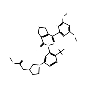 CNC(=O)C[C@@H]1CCN(c2ccc(C(F)(F)F)c(-n3nc(-c4cc(OC)cc(OC)c4)c4c(c3=O)CCC4)c2)C1